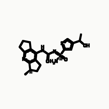 CC(O)c1csc([S@@](N)(=O)=NC(=O)Nc2c3c(nc4c2CC[C@H]4C)CCC3)c1